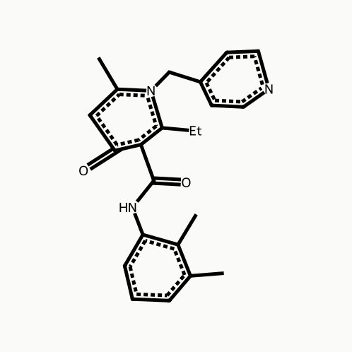 CCc1c(C(=O)Nc2cccc(C)c2C)c(=O)cc(C)n1Cc1ccncc1